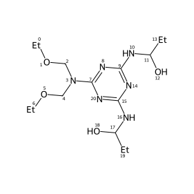 CCOCN(COCC)c1nc(NC(O)CC)nc(NC(O)CC)n1